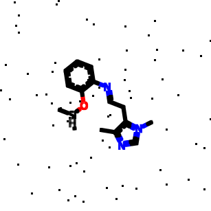 Cc1ncn(C)c1CC=Nc1ccccc1O[SiH](C)C